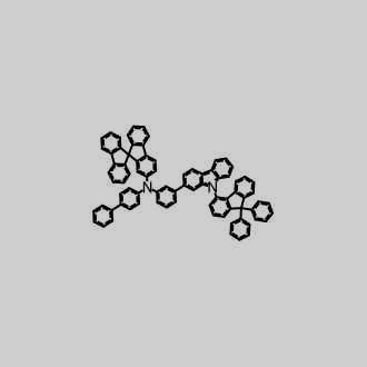 c1ccc(-c2ccc(N(c3cccc(-c4ccc5c6ccccc6n(-c6cccc7c6-c6ccccc6C7(c6ccccc6)c6ccccc6)c5c4)c3)c3ccc4c(c3)C3(c5ccccc5-c5ccccc53)c3ccccc3-4)cc2)cc1